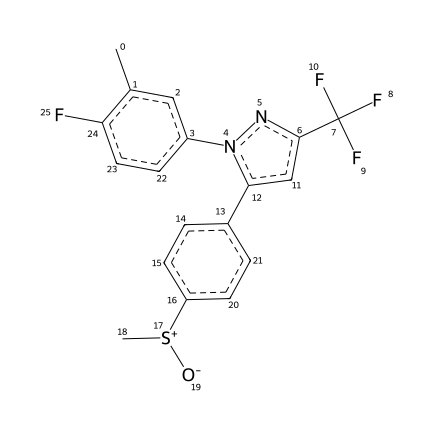 Cc1cc(-n2nc(C(F)(F)F)cc2-c2ccc([S+](C)[O-])cc2)ccc1F